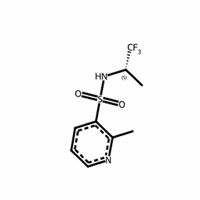 Cc1ncccc1S(=O)(=O)N[C@@H](C)C(F)(F)F